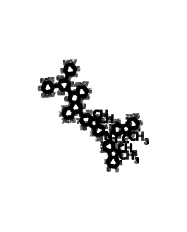 CC1(C)c2ccccc2-c2ccc(N(c3ccc4c(c3)C(C)(C)c3ccccc3-4)c3ccc4c(c3)C(C)(C)c3cc(-c5cc6c7ccccc7c(-c7cc(-c8ccccc8)cc(-c8ccccc8)c7)cc6c6ccccc56)ccc3-4)cc21